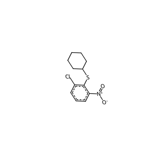 O=[N+]([O-])c1cccc(Cl)c1SC1CCCCC1